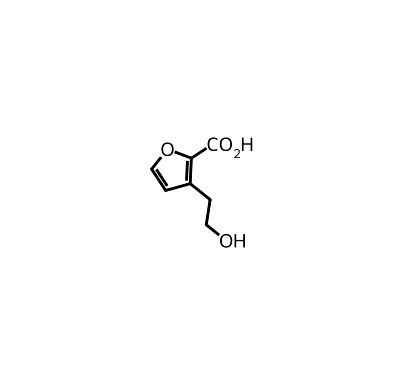 O=C(O)c1occc1CCO